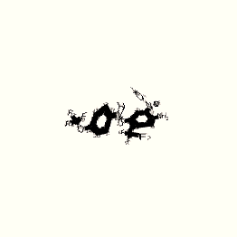 Nc1cc(C(F)(F)F)c(SNc2ccc(OC(F)(F)F)cc2)cc1[N+](=O)[O-]